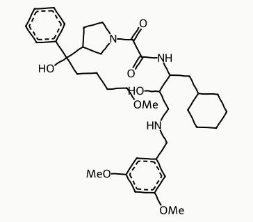 COCCCCC(O)(c1ccccc1)C1CCN(C(=O)C(=O)NC(CC2CCCCC2)C(O)CNCc2cc(OC)cc(OC)c2)C1